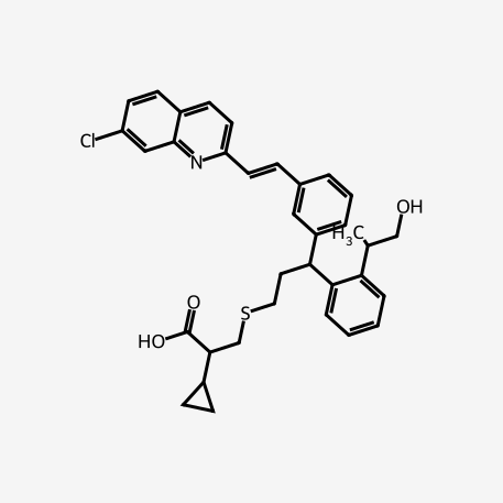 CC(CO)c1ccccc1C(CCSCC(C(=O)O)C1CC1)c1cccc(/C=C/c2ccc3ccc(Cl)cc3n2)c1